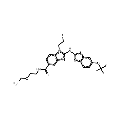 CCOCCNC(=O)c1ccc2c(c1)nc(Nc1nc3ccc(OC(F)(F)F)cc3s1)n2CCF